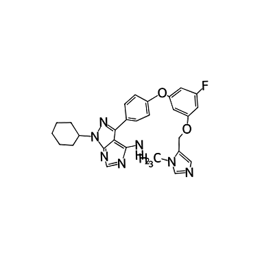 Cn1cncc1COc1cc(F)cc(Oc2ccc(-c3nn(C4CCCCC4)c4ncnc(N)c34)cc2)c1